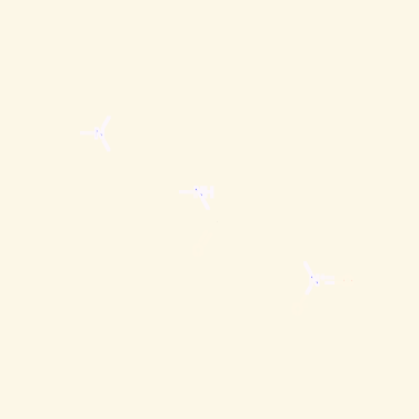 CN(C)CCCNC(=O)c1cccc([N+](=O)[O-])c1